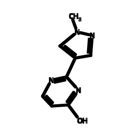 Cn1cc(-c2nccc(O)n2)cn1